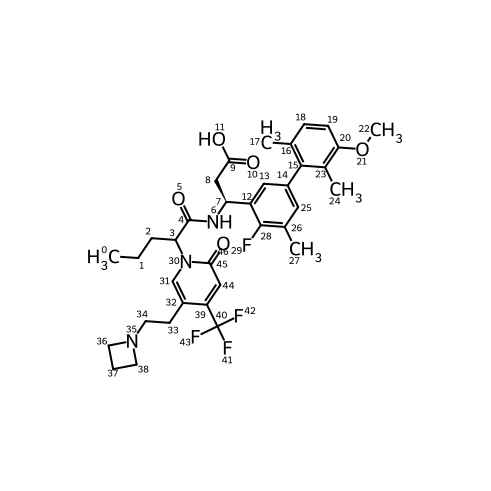 CCCC(C(=O)N[C@@H](CC(=O)O)c1cc(-c2c(C)ccc(OC)c2C)cc(C)c1F)n1cc(CCN2CCC2)c(C(F)(F)F)cc1=O